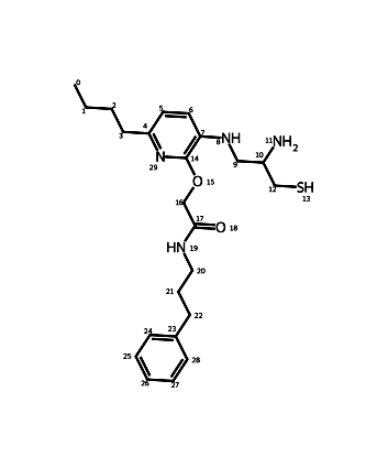 CCCCc1ccc(NCC(N)CS)c(OCC(=O)NCCCc2ccccc2)n1